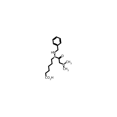 CN(C)CC(=O)N(CCCCCC(=O)O)NCc1ccccc1